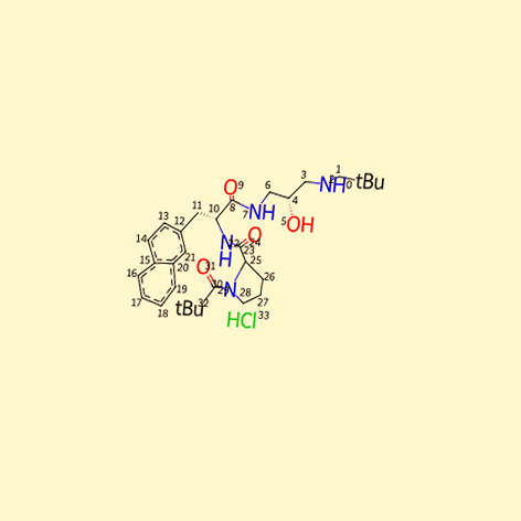 CC(C)(C)CNC[C@H](O)CNC(=O)[C@@H](Cc1ccc2ccccc2c1)NC(=O)C1CCCN1C(=O)C(C)(C)C.Cl